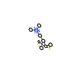 c1ccc(-c2nc(-c3ccccc3)nc(-c3ccc(-c4ccc5c(c4)C4(c6ccccc6Sc6ccccc64)c4ccc6sc7ccccc7c6c4-5)cc3)n2)cc1